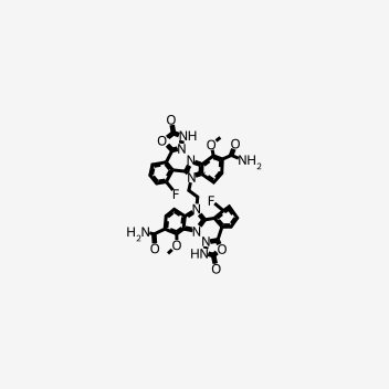 COc1c(C(N)=O)ccc2c1nc(-c1c(F)cccc1-c1n[nH]c(=O)o1)n2CCn1c(-c2c(F)cccc2-c2n[nH]c(=O)o2)nc2c(OC)c(C(N)=O)ccc21